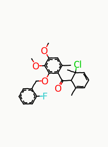 COc1cc(C)c(C(=O)C2C(C)=CC=CC2(C)Cl)c(OCc2ccccc2F)c1OC